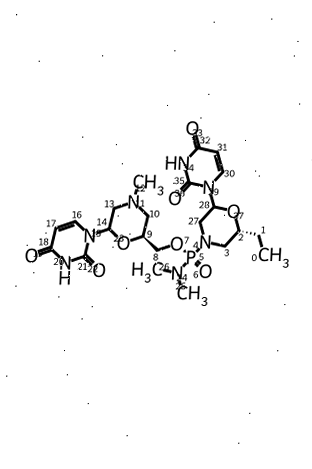 CC[C@@H]1CN([P@](=O)(OC[C@@H]2CN(C)CC(n3ccc(=O)[nH]c3=O)O2)N(C)C)CC(n2ccc(=O)[nH]c2=O)O1